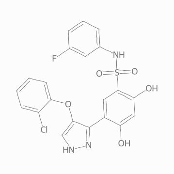 O=S(=O)(Nc1cccc(F)c1)c1cc(-c2n[nH]cc2Oc2ccccc2Cl)c(O)cc1O